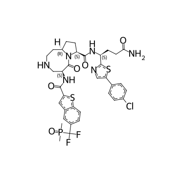 CP(C)(=O)C(F)(F)c1ccc2sc(C(=O)N[C@H]3CNCC[C@H]4CC[C@@H](C(=O)N[C@@H](CCC(N)=O)c5ncc(-c6ccc(Cl)cc6)s5)N4C3=O)cc2c1